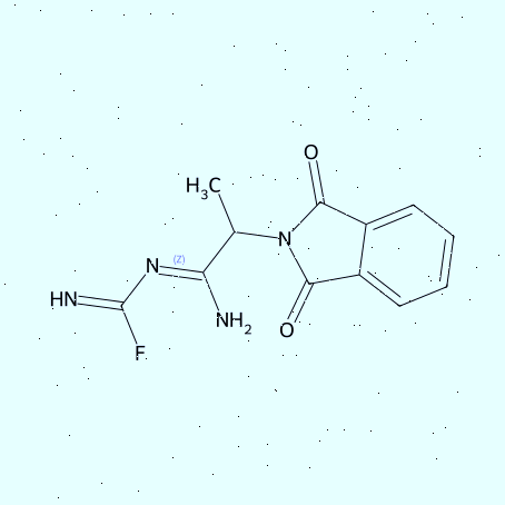 CC(/C(N)=N/C(=N)F)N1C(=O)c2ccccc2C1=O